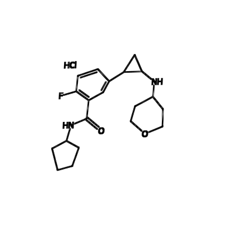 Cl.O=C(NC1CCCC1)c1cc(C2CC2NC2CCOCC2)ccc1F